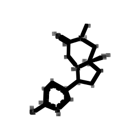 CN1C[C@@H]2CCC(c3ccc(Cl)nc3)N2CC1=O